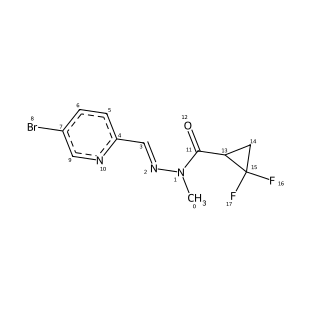 CN(/N=C/c1ccc(Br)cn1)C(=O)C1CC1(F)F